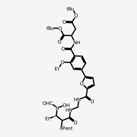 CCCCCC(C(=O)NCNC(=O)c1ccc(-c2ccc(C(=O)NC(CC(=O)OC(C)(C)C)C(=O)OC(C)(C)C)c(OCC)c2)o1)[C@@H](CC)N(O)C=O